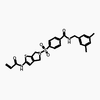 C=CC(=O)Nc1cc2c(s1)CN(S(=O)(=O)c1ccc(C(=O)NCc3cc(C)cc(C)c3)cc1)C2